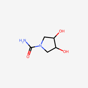 NC(=O)N1CC(O)C(O)C1